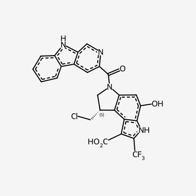 O=C(O)c1c(C(F)(F)F)[nH]c2c(O)cc3c(c12)[C@H](CCl)CN3C(=O)c1cc2c(cn1)[nH]c1ccccc12